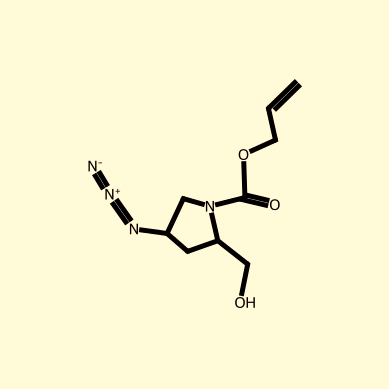 C=CCOC(=O)N1CC(N=[N+]=[N-])CC1CO